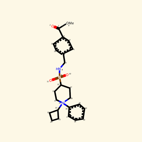 COC(=O)c1ccc(CNS(=O)(=O)C2CC[N+](c3ccccc3)(C3CCC3)CC2)cc1